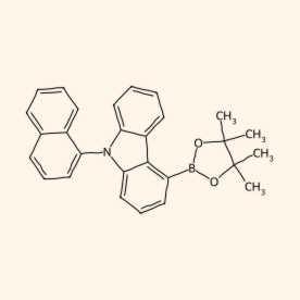 CC1(C)OB(c2cccc3c2c2ccccc2n3-c2cccc3ccccc23)OC1(C)C